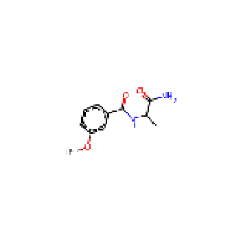 CC(C)Oc1cccc(C(=O)NC(C)C(N)=O)c1